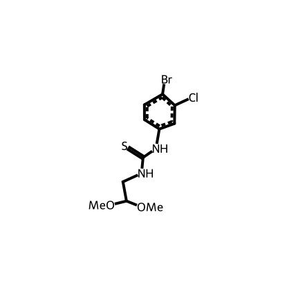 COC(CNC(=S)Nc1ccc(Br)c(Cl)c1)OC